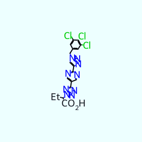 CCC(C(=O)O)n1nnc(-c2cnc(-c3cn(Cc4cc(Cl)c(Cl)c(Cl)c4)nn3)nc2)n1